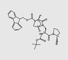 CC(C)(C)OC(=O)N[C@@H](CN1C(=O)[C@@H]2C[C@H]1CN2C(=O)OCC1c2ccccc2-c2ccccc21)C(=O)N1CCC[C@H]1C#N